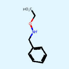 O=C(O)CONCc1ccccc1